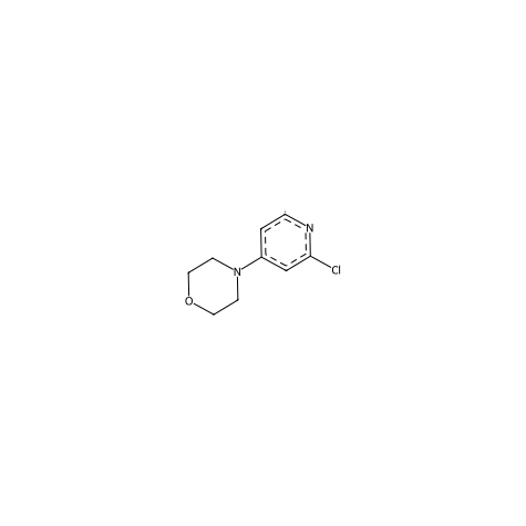 Clc1cc(N2CCOCC2)c[c]n1